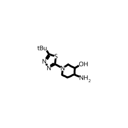 CC(C)(C)c1nnc(N2CCC(N)C(O)C2)s1